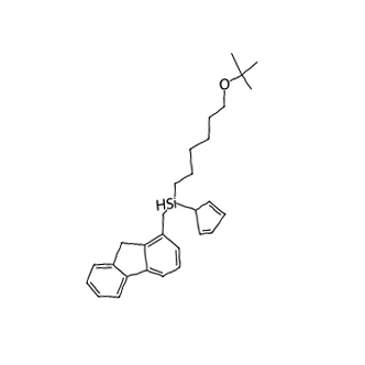 CC(C)(C)OCCCCCC[SiH](Cc1cccc2c1Cc1ccccc1-2)C1C=CC=C1